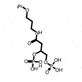 CC(C)OCCCNC(=O)CC(COP(=O)(O)O)OP(=O)(O)O